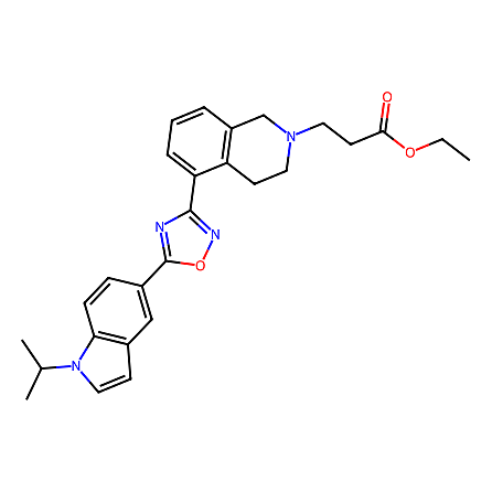 CCOC(=O)CCN1CCc2c(cccc2-c2noc(-c3ccc4c(ccn4C(C)C)c3)n2)C1